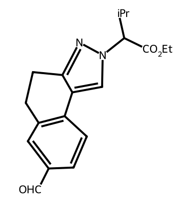 CCOC(=O)C(C(C)C)n1cc2c(n1)CCc1cc(C=O)ccc1-2